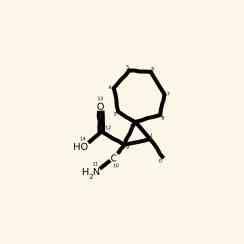 CC1C2(CCCCCC2)C1(CN)C(=O)O